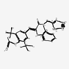 CC(=O)Oc1c(C(C)(C)C)cc(C=C2Sc3ccccc3N(Cc3nnn[nH]3)C2=O)cc1C(C)(C)C